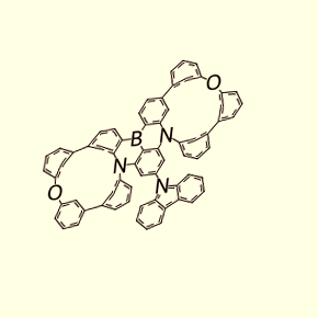 c1cc2cc(c1)-c1cccc(c1)N1c3cc(ccc3B3c4ccc5cc4N(c4cccc(c4)-c4cccc(c4)Oc4cccc-5c4)c4cc(-n5c6ccccc6c6ccccc65)cc1c43)-c1cccc(c1)O2